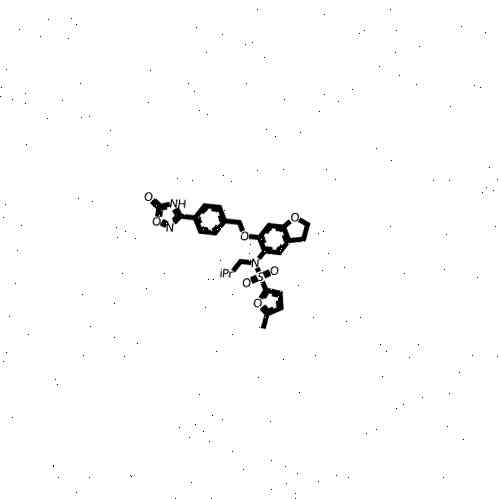 Cc1ccc(S(=O)(=O)N(CC(C)C)c2cc3c(cc2OCc2ccc(-c4noc(=O)[nH]4)cc2)OCC3)o1